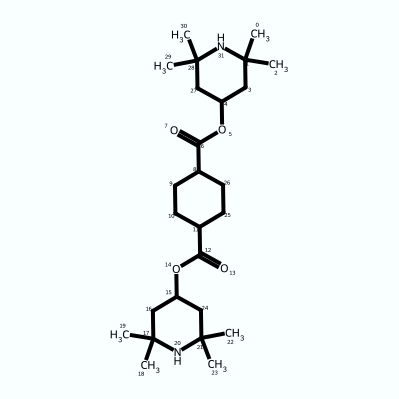 CC1(C)CC(OC(=O)C2CCC(C(=O)OC3CC(C)(C)NC(C)(C)C3)CC2)CC(C)(C)N1